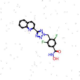 O=C(NO)c1cc(F)c(Cn2nnc(-c3ccc4ccccc4n3)n2)c(F)c1